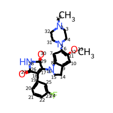 CCN1CCN(c2cc3c(cc2OC)CCN3C2=C(c3cccc(F)c3)C(=O)NC2=O)CC1